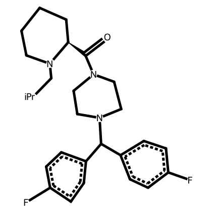 CC(C)CN1CCCC[C@H]1C(=O)N1CCN(C(c2ccc(F)cc2)c2ccc(F)cc2)CC1